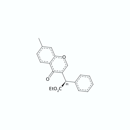 CCOC(=O)[C@H](c1ccccc1)c1coc2cc(C)ccc2c1=O